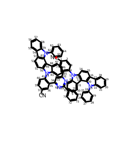 N#Cc1ccc(-n2c3ccccc3c3c2ccc2c4ccccc4n(-c4ccccc4)c23)c(-c2cc(-c3cc(C#N)ccc3-n3c4ccccc4c4c3ccc3c5ccccc5n(-c5ccccc5)c34)nc(-c3ccccc3)n2)c1